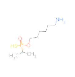 CC(C)P(=O)(S)OCCCCCCN